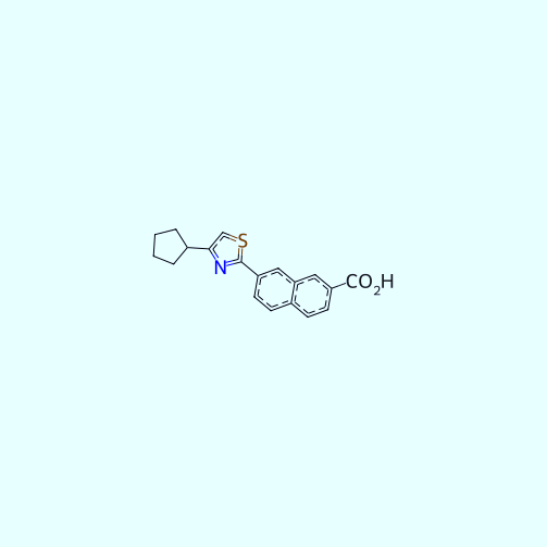 O=C(O)c1ccc2ccc(-c3nc(C4CCCC4)cs3)cc2c1